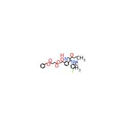 CCCC(=O)c1cnc2c(C(O)COC(=O)CCC(=O)OCc3ccccc3)cccc2c1Nc1ccc(F)cc1C